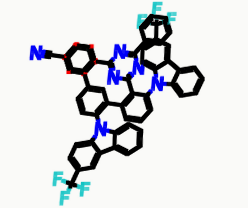 N#Cc1cccc(-c2ccc(-n3c4ccccc4c4cc(C(F)(F)F)ccc43)c(-c3cccc(-n4c5ccccc5c5cc(C(F)(F)F)ccc54)c3-c3nc(-c4ccccc4)nc(-c4ccccc4)n3)c2)c1